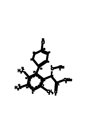 COC(=O)[C@@H](OC(C)(C)C)c1c(C)nc(N)c(C)c1C1=CC=C(Cl)CC1